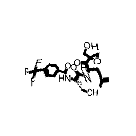 CC(C)CC(NC(=O)[C@H](CO)NC(=O)c1ccc(C(F)(F)F)cc1)C(=O)C1(CO)CO1